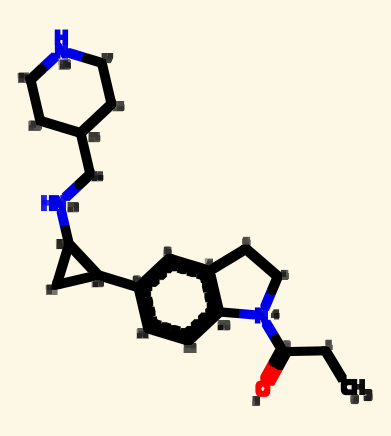 CCC(=O)N1CCc2cc(C3CC3NCC3CCNCC3)ccc21